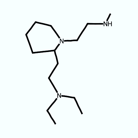 CCN(CC)CCC1CCCCN1CCNC